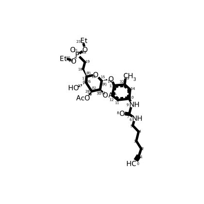 C#CCCCCNC(=O)Nc1ccc(O[C@H]2O[C@H](CCP(=O)(OCC)OCC)[C@@H](O)[C@H](OC(C)=O)[C@@H]2OC(C)=O)c(C)c1